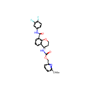 COc1cccc(COC(=O)N[C@H]2CCOc3c(C(=O)Nc4ccc(F)c(F)c4)cccc32)n1